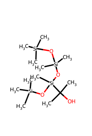 CC(C)(O)[Si](C)(O[Si](C)(C)C)O[Si](C)(C)O[Si](C)(C)C